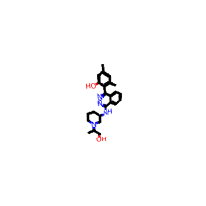 Cc1cc(C)c(-c2nnc(NC3CCCN(C(C)CO)C3)c3ccccc23)c(O)c1